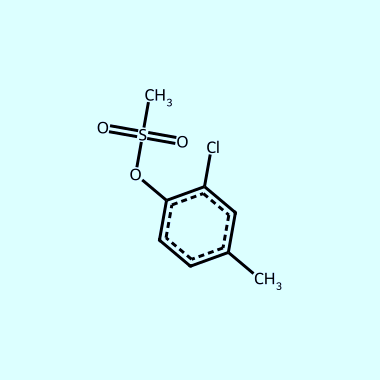 Cc1ccc(OS(C)(=O)=O)c(Cl)c1